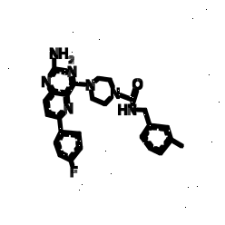 Cc1cccc(CNC(=O)N2CCN(c3nc(N)nc4ccc(-c5ccc(F)cc5)nc34)CC2)c1